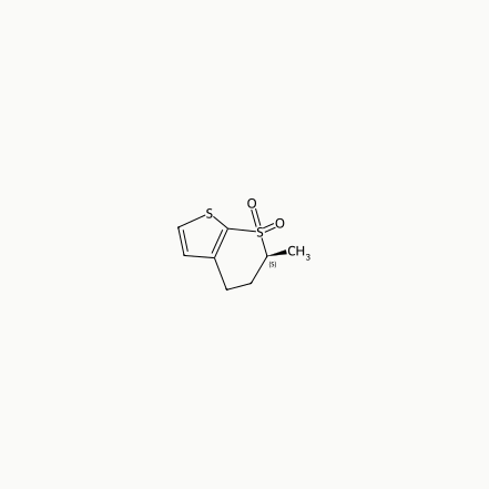 C[C@H]1CCc2ccsc2S1(=O)=O